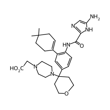 CC1(C)CC=C(c2cc(C3(N4CCN(CC(=O)O)CC4)CCOCC3)ccc2NC(=O)c2ncc(N)[nH]2)CC1